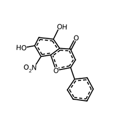 O=c1cc(-c2ccccc2)oc2c([N+](=O)[O-])c(O)cc(O)c12